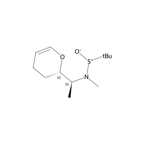 C[C@@H]([C@@H]1CCC=CO1)N(C)[S+]([O-])C(C)(C)C